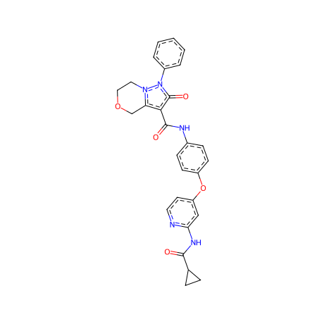 O=C(Nc1ccc(Oc2ccnc(NC(=O)C3CC3)c2)cc1)c1c2n(n(-c3ccccc3)c1=O)CCOC2